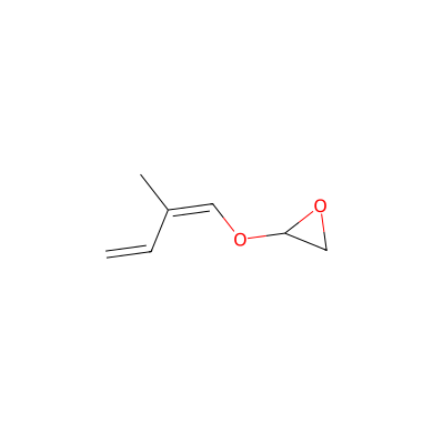 C=CC(C)=COC1CO1